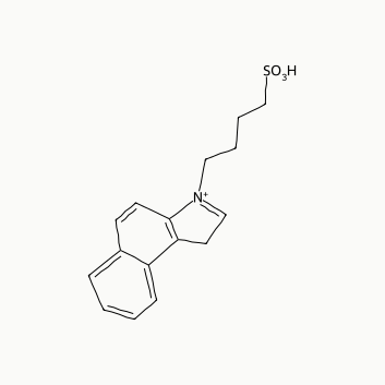 O=S(=O)(O)CCCC[N+]1=CCc2c1ccc1ccccc21